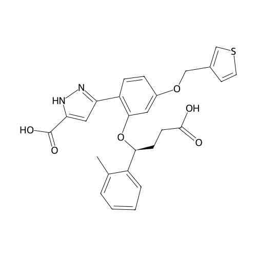 Cc1ccccc1[C@H](CCC(=O)O)Oc1cc(OCc2ccsc2)ccc1-c1cc(C(=O)O)[nH]n1